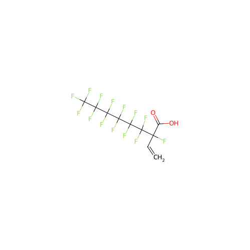 C=CC(F)(C(=O)O)C(F)(F)C(F)(F)C(F)(F)C(F)(F)C(F)(F)C(F)(F)F